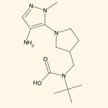 Cn1ncc(N)c1N1CCC(CN(C(=O)O)C(C)(C)C)C1